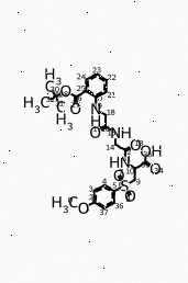 COc1ccc(S(=O)(=O)CC(NC(=O)CNC(=O)CNc2ccccc2C(=O)OC(C)(C)C)C(=O)O)cc1